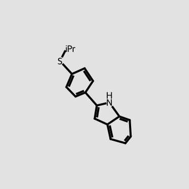 CC(C)Sc1ccc(-c2cc3ccccc3[nH]2)cc1